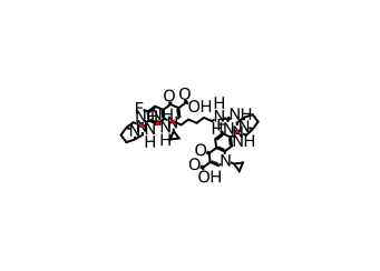 N=C(NCCCCCCNC(=N)NC(=N)N1C2CCC1CN(c1cc3c(cc1F)c(=O)c(C(=O)O)cn3C1CC1)C2)NC(=N)N1C2CCC1CN(c1cc3c(cc1F)c(=O)c(C(=O)O)cn3C1CC1)C2